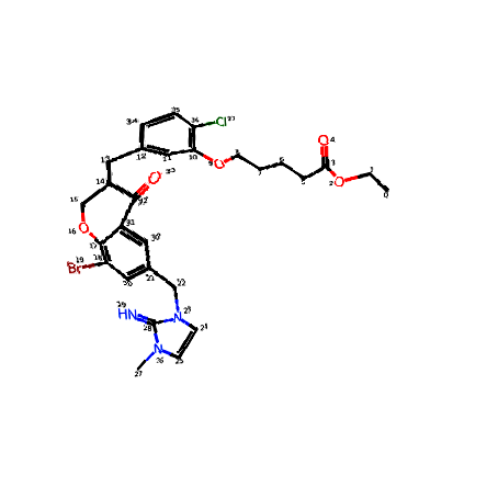 CCOC(=O)CCCCOc1cc(CC2COc3c(Br)cc(Cn4ccn(C)c4=N)cc3C2=O)ccc1Cl